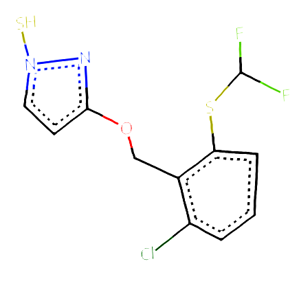 FC(F)Sc1cccc(Cl)c1COc1ccn(S)n1